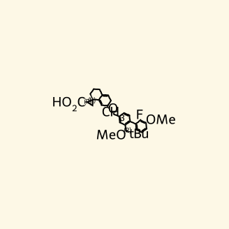 COc1cccc(-c2ccc(COC3(C)C=C4C(=CC3)CCC[C@]43C[C@H]3C(=O)O)cc2[C@H](OC)C(C)(C)C)c1F